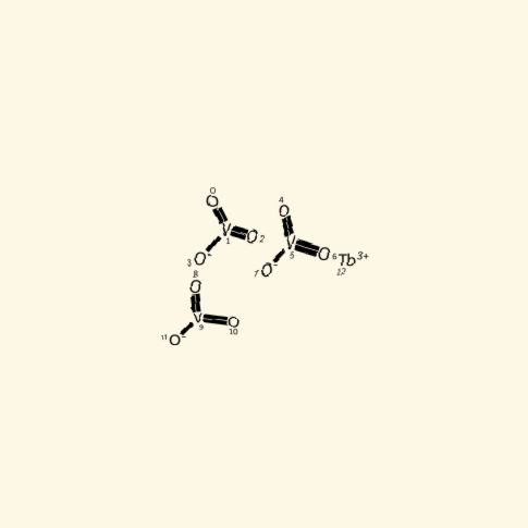 [O]=[V](=[O])[O-].[O]=[V](=[O])[O-].[O]=[V](=[O])[O-].[Tb+3]